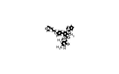 CCN(C(=O)C1CCCC1)c1cc(-c2ccc(OCCCN3CCOCC3)c(F)c2)cc(C(=O)NCc2c(C)cc(C)[nH]c2=O)c1C